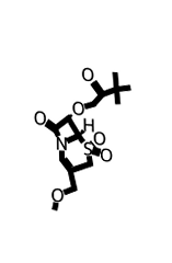 COCC1=CN2C(=O)[C@H](OCC(=O)C(C)(C)C)[C@@H]2S(=O)(=O)C1